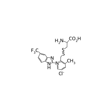 Cc1ccc[n+](-c2nc3cc(C(F)(F)F)ccc3[nH]2)c1CSSCC(N)C(=O)O.[Cl-]